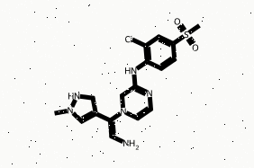 CN1C=C(/C(=C/N)N2C=CN=C(Nc3ccc(S(C)(=O)=O)cc3Cl)C2)CN1